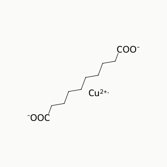 O=C([O-])CCCCCCCCC(=O)[O-].[Cu+2]